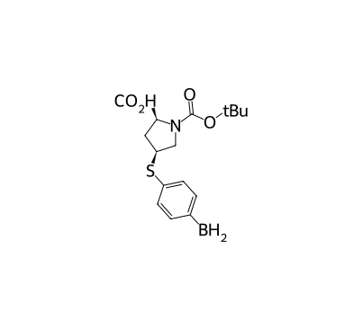 Bc1ccc(S[C@H]2C[C@@H](C(=O)O)N(C(=O)OC(C)(C)C)C2)cc1